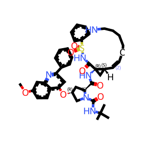 COc1ccc2c(O[C@@H]3C[C@@H](C(=O)N[C@]45C[C@H]4/C=C\CCCCCNc4ccccc4S(=O)(=O)NC5=O)N(C(=O)NC(C)(C)C)C3)cc(-c3ccccc3)nc2c1